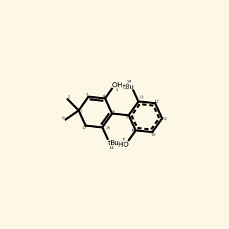 CC1(C)C=C(O)C(c2c(O)cccc2C(C)(C)C)=C(C(C)(C)C)C1